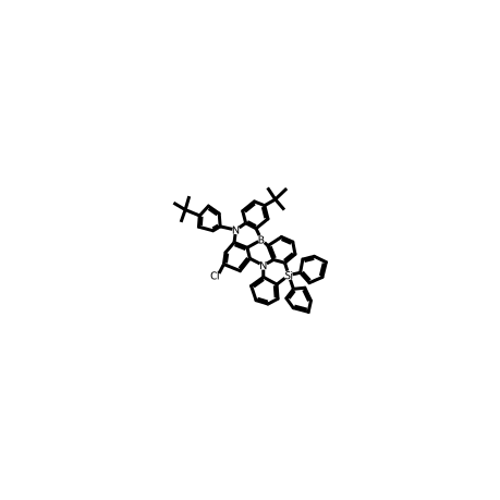 CC(C)(C)c1ccc(N2c3ccc(C(C)(C)C)cc3B3c4cccc5c4N(c4ccccc4[Si]5(c4ccccc4)c4ccccc4)c4cc(Cl)cc2c43)cc1